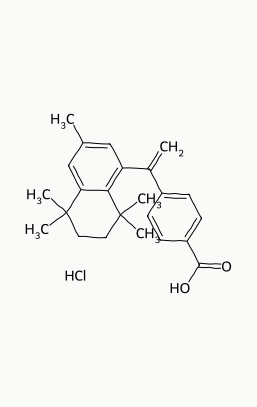 C=C(c1ccc(C(=O)O)cc1)c1cc(C)cc2c1C(C)(C)CCC2(C)C.Cl